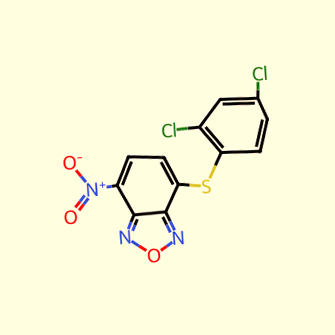 O=[N+]([O-])c1ccc(Sc2ccc(Cl)cc2Cl)c2nonc12